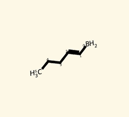 BC=CCCC